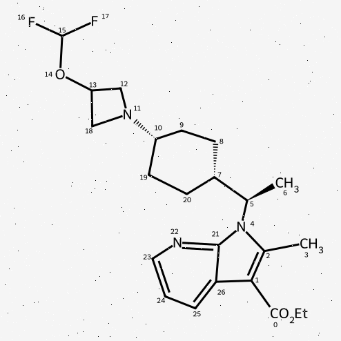 CCOC(=O)c1c(C)n([C@H](C)[C@H]2CC[C@@H](N3CC(OC(F)F)C3)CC2)c2ncccc12